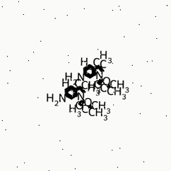 CC(C)(C)OC(=O)N1CC(C)(C)c2ccc(N)cc21.CC(C)(C)OC(=O)N1CC(C)(C)c2ccc(N)cc21